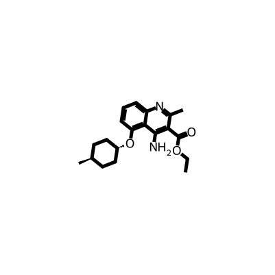 CCOC(=O)c1c(C)nc2cccc(O[C@H]3CC[C@H](C)CC3)c2c1N